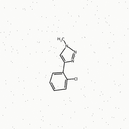 Cn1cc(-c2ccccc2Cl)nn1